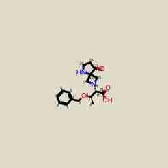 C[C@@H](OCc1ccccc1)[C@@H](C(=O)O)N1CC2(C1)NCCC2=O